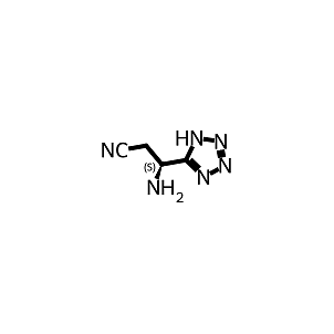 N#CC[C@H](N)c1nnn[nH]1